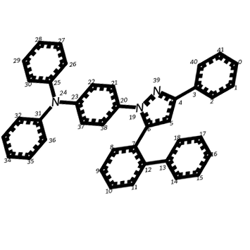 c1ccc(-c2cc(-c3ccccc3-c3ccccc3)n(-c3ccc(N(c4ccccc4)c4ccccc4)cc3)n2)cc1